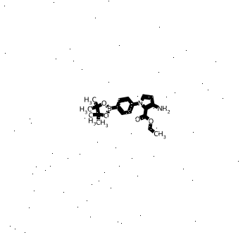 CCOC(=O)c1c(N)ccn1-c1ccc(B2OC(C)(C)C(C)(C)O2)cc1